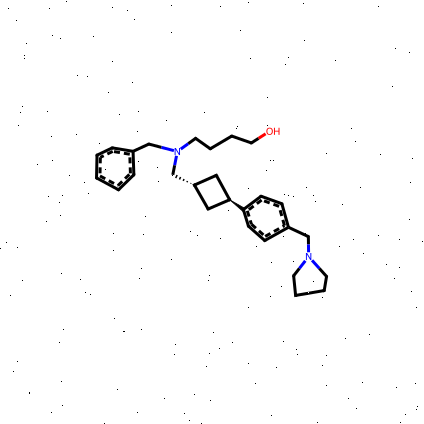 OCCCCN(Cc1ccccc1)C[C@H]1C[C@H](c2ccc(CN3CCCC3)cc2)C1